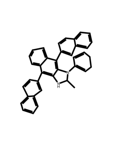 CC1Nc2c(c(-c3ccc4ccccc4c3)c3ccccc3c2-c2ccc3ccccc3c2)N1C1=CCCC=C1